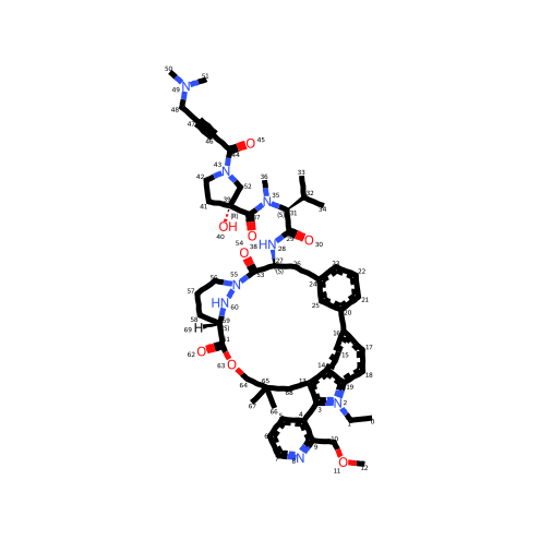 CCn1c(-c2cccnc2COC)c2c3cc(ccc31)-c1cccc(c1)C[C@H](NC(=O)[C@H](C(C)C)N(C)C(=O)[C@@]1(O)CCN(C(=O)C#CCN(C)C)C1)C(=O)N1CCC[C@H](N1)C(=O)OCC(C)(C)C2